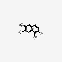 Cc1cc2ccc(C)c(C)c2nc1C